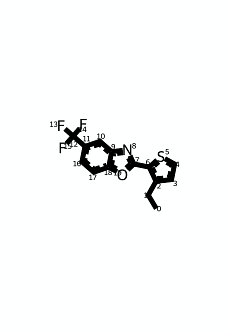 CCc1ccsc1-c1nc2cc(C(F)(F)F)ccc2o1